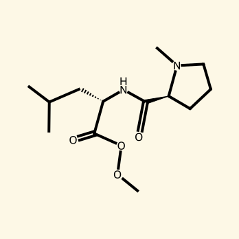 COOC(=O)[C@H](CC(C)C)NC(=O)[C@@H]1CCCN1C